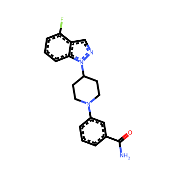 NC(=O)c1cccc(N2CCC(n3ncc4c(F)cccc43)CC2)c1